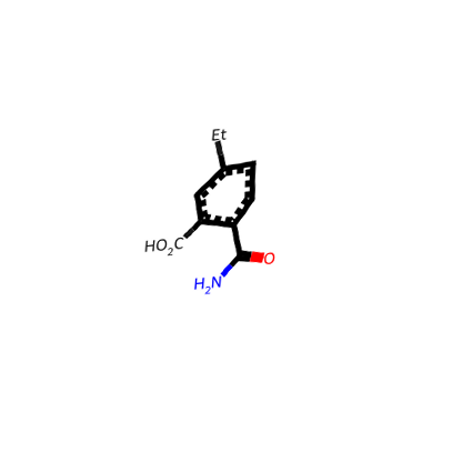 CCc1ccc(C(N)=O)c(C(=O)O)c1